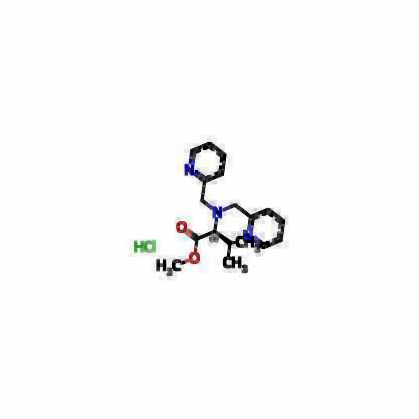 COC(=O)[C@H](C(C)C)N(Cc1ccccn1)Cc1ccccn1.Cl